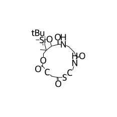 CC1(C)COC(=O)CCC(=O)SCCNC(=O)CCNC(=O)C1O[Si](C)(C)C(C)(C)C